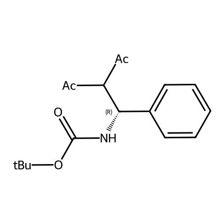 CC(=O)C(C(C)=O)[C@@H](NC(=O)OC(C)(C)C)c1ccccc1